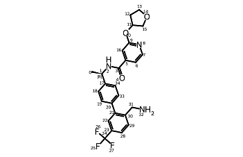 C[C@@H](NC(=O)c1ccnc(OC2CCOC2)c1)c1ccc(-c2cc(C(F)(F)F)ccc2CN)cc1